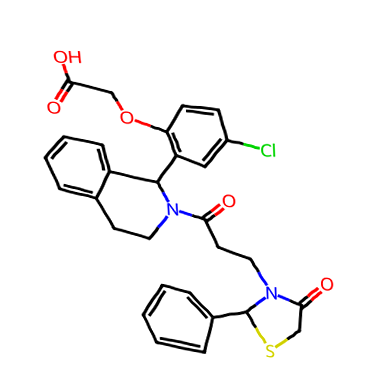 O=C(O)COc1ccc(Cl)cc1C1c2ccccc2CCN1C(=O)CCN1C(=O)CSC1c1ccccc1